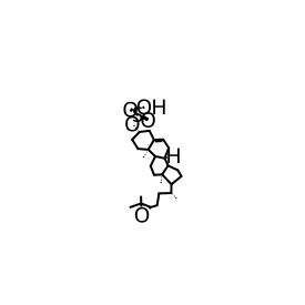 C[C@H](CCC1OC1(C)C)C1CCC2[C@@H]3CC=C4C[C@@H](OS(=O)(=O)O)CC[C@]4(C)C3CC[C@@]21C